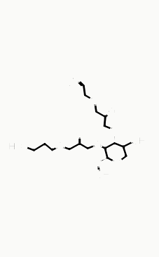 C=CCOCC(O)CO[C@@H]1C(C)CO[C@@H](OC)C1OCC(O)COCCCC